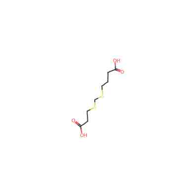 O=C(O)CCCSCSCCC(=O)O